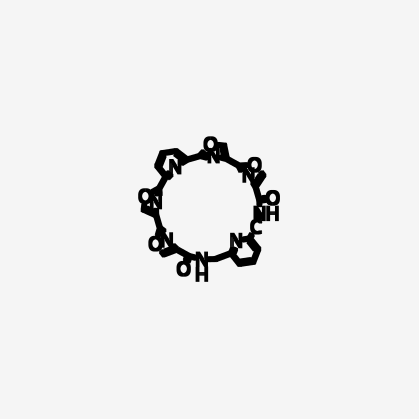 O=C1NCc2cccc(n2)CNC(=O)c2coc(n2)-c2coc(n2)-c2cccc(n2)-c2nc(co2)-c2nc1co2